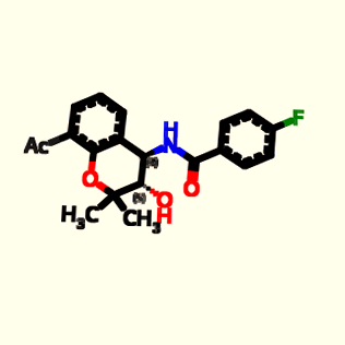 CC(=O)c1cccc2c1OC(C)(C)[C@@H](O)[C@@H]2NC(=O)c1ccc(F)cc1